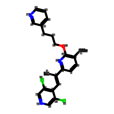 COc1ccc(/C(C#N)=C/c2c(Cl)cncc2Cl)nc1OCCCc1cccnc1